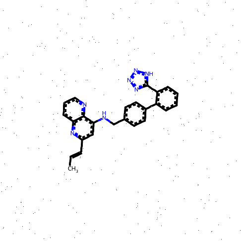 CC=Cc1cc(NCc2ccc(-c3ccccc3-c3nnn[nH]3)cc2)c2ncccc2n1